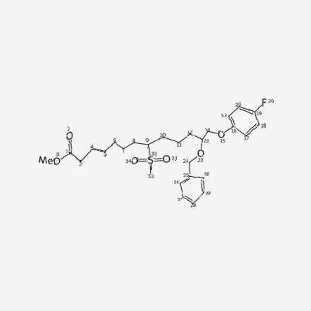 COC(=O)CCCCCCC(CCCC(COc1ccc(F)cc1)OCc1ccccc1)S(C)(=O)=O